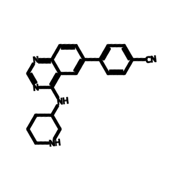 N#Cc1ccc(-c2ccc3ncnc(NC4CCCNC4)c3c2)cc1